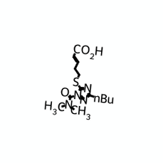 CCCCc1nc(SCCC=CC(=O)O)n(C(=O)N(C)C)n1